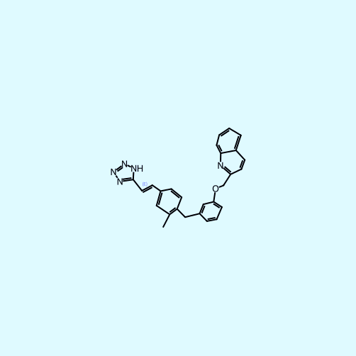 Cc1cc(/C=C/c2nnn[nH]2)ccc1Cc1cccc(OCc2ccc3ccccc3n2)c1